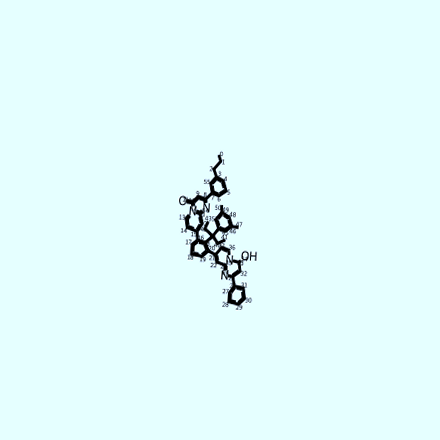 CCCc1cccc(-c2cc(=O)n3ccc(-c4cccc(C5=CC6=NC(c7ccccc7)=CC(O)N6C=C5)c4C(CC)(CC)c4cc(C)cc(C)c4)cc3n2)c1